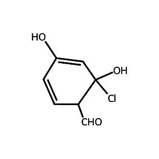 O=CC1C=CC(O)=CC1(O)Cl